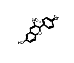 O=[N+]([O-])C1=Cc2cc(O)ccc2OC1c1ccc(Br)cc1